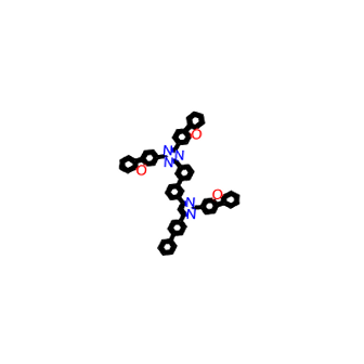 c1ccc(-c2ccc(-c3cc(-c4cccc(-c5cccc(-c6nc(-c7ccc8c(c7)oc7ccccc78)nc(-c7ccc8c(c7)oc7ccccc78)n6)c5)c4)nc(-c4ccc5c(c4)oc4ccccc45)n3)cc2)cc1